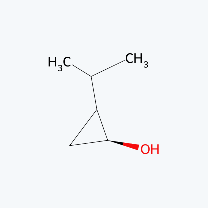 CC(C)C1C[C@@H]1O